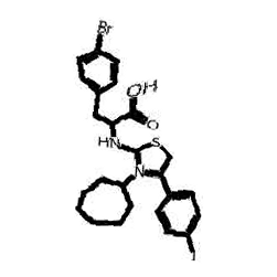 O=C(O)C(Cc1ccc(Br)cc1)NC1SCC(c2ccc(I)cc2)N1C1CCCCCC1